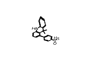 CC1(C)c2ccccc2Nc2cccc(-c3ccc([SH](=O)=S)cc3)c21